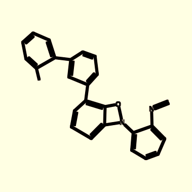 C=Nc1ccccc1-n1oc2c(-c3cccc(-c4ccccc4C)c3)cccc21